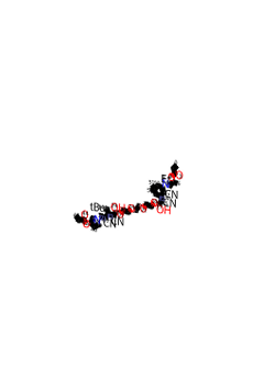 C=CC(=O)OC(C)CN(CC)C1=C(C#N)/C(=C(\C#N)C(O)OCCOCCOCCOC(O)/C(C#N)=C(CC(C)(C)C)/C(C#N)=C/N2CCC(OC(=O)C=C)C2)CC(C)(C)C1